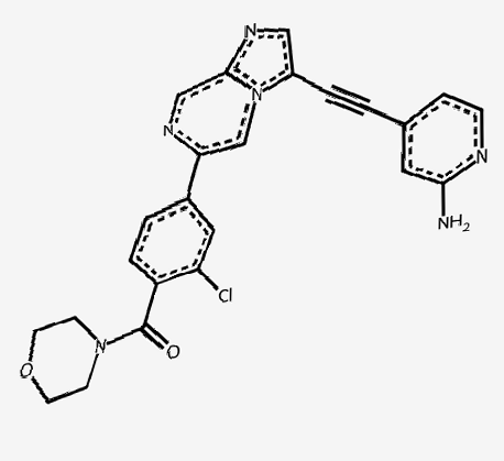 Nc1cc(C#Cc2cnc3cnc(-c4ccc(C(=O)N5CCOCC5)c(Cl)c4)cn23)ccn1